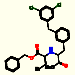 COC(=O)C(Cc1cccc(Cc2cc(Cl)cc(Cl)c2)c1)N[C@@H](CC(C)C)C(=O)OCc1ccccc1